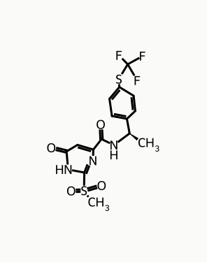 C[C@@H](NC(=O)c1cc(=O)[nH]c(S(C)(=O)=O)n1)c1ccc(SC(F)(F)F)cc1